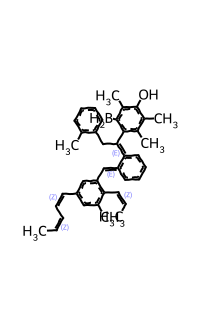 Bc1c(C)c(O)c(C)c(C)c1/C(Cc1ccccc1C)=c1\cccc\c1=C/c1cc(/C=C\C=C/C)cc(C)c1/C=C\C